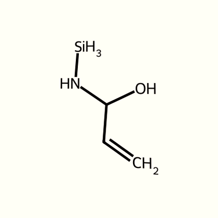 C=CC(O)N[SiH3]